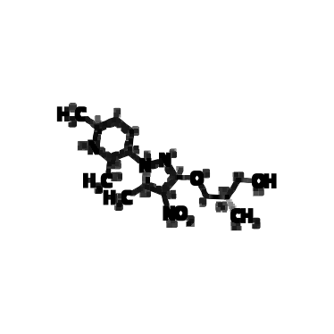 Cc1ccc(-n2nc(OC[C@@H](C)CO)c([N+](=O)[O-])c2C)c(C)n1